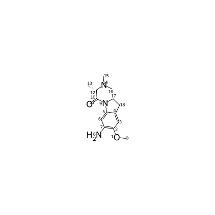 COc1cc2c(cc1N)N(C(=O)[C@H](C)N(C)C)CC2